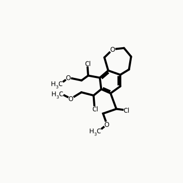 COCC(Cl)c1cc2c(c(C(Cl)COC)c1C(Cl)COC)COCCC2